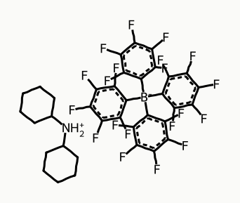 C1CCC([NH2+]C2CCCCC2)CC1.Fc1c(F)c(F)c([B-](c2c(F)c(F)c(F)c(F)c2F)(c2c(F)c(F)c(F)c(F)c2F)c2c(F)c(F)c(F)c(F)c2F)c(F)c1F